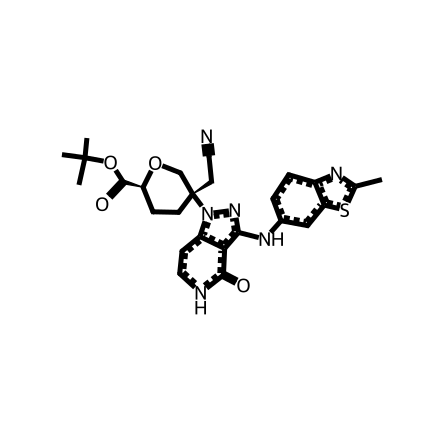 Cc1nc2ccc(Nc3nn([C@]4(CC#N)CC[C@@H](C(=O)OC(C)(C)C)OC4)c4cc[nH]c(=O)c34)cc2s1